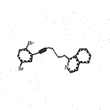 Brc1ccc(Br)c(C#CCCCc2nccc3ccccc23)c1